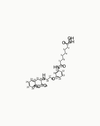 O=C(CCCCCCC(=O)Nc1cccc(OCCNC(Cc2ccccc2)C(=O)O)c1)NO